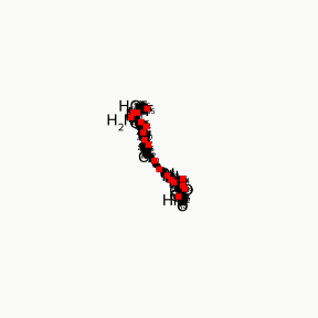 CN(c1cn(CCCCCCCCC(=O)N2CCN(c3ccc(N4CCCC(Oc5cc(-c6cc(F)ccc6O)nnc5N)C4)cc3)CC2)nn1)c1cccc2c1C(=O)N(C1CCC(=O)NC1=O)C2=O